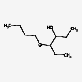 CCCCOC(CC)C(O)CC